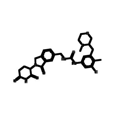 Cc1c(Cl)cc(NC(=O)NCc2ccc3c(c2)C(=O)N(C2CCC(=O)NC2=O)C3)cc1CC1COCCN1C